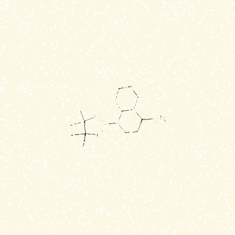 CC1(C)OB(C2CCC(C#N)C3CCCCC23)OC1(C)C